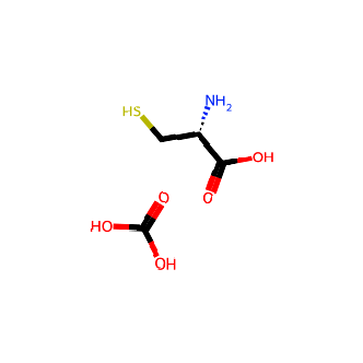 N[C@@H](CS)C(=O)O.O=C(O)O